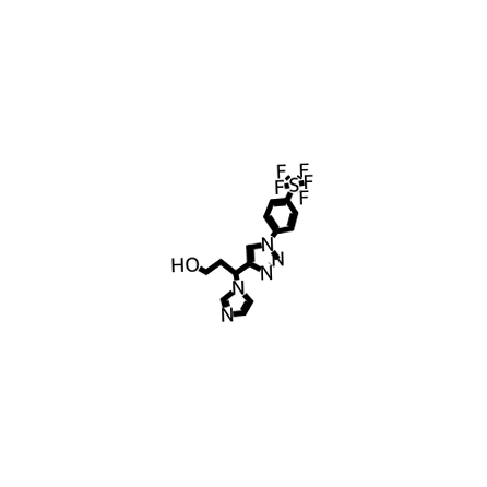 OCCC(c1cn(-c2ccc(S(F)(F)(F)(F)F)cc2)nn1)n1ccnc1